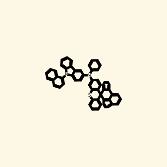 c1ccc(N(c2ccc3c(c2)Sc2ccccc2C32c3ccccc3-c3cccc4cccc2c34)c2ccc3c(c2)c2ccccc2n3-c2cccc3ccccc23)cc1